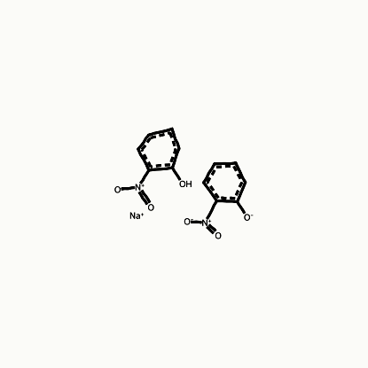 O=[N+]([O-])c1ccccc1O.O=[N+]([O-])c1ccccc1[O-].[Na+]